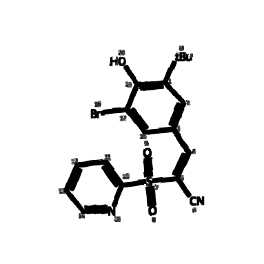 CC(C)(C)c1cc(C=C(C#N)S(=O)(=O)c2ccccn2)cc(Br)c1O